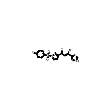 O=C(C=C(O)c1nc[nH]n1)c1ccn(S(=O)(=O)c2ccc(F)cc2)n1